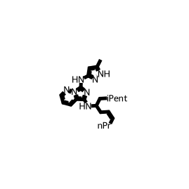 CCC/C=C\CC(CC(C)CCC)Nc1nc(Nc2cc(C)[nH]n2)n2ncccc12